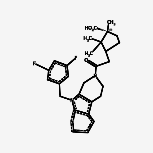 CC1(C)C(CC(=O)N2CCc3c(n(Cc4cc(F)cc(F)c4)c4ncccc34)C2)CC[C@@]1(C)C(=O)O